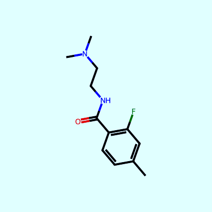 Cc1ccc(C(=O)NCCN(C)C)c(F)c1